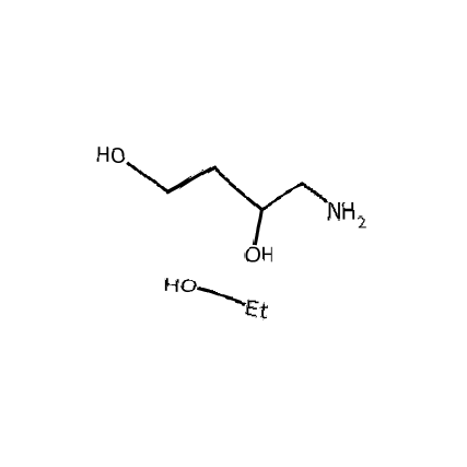 CCO.NCC(O)CCO